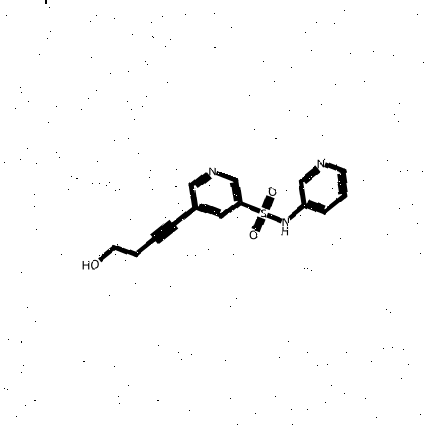 O=S(=O)(Nc1cccnc1)c1cncc(C#CCCO)c1